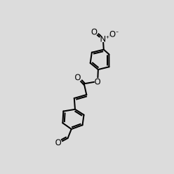 O=Cc1ccc(C=CC(=O)Oc2ccc([N+](=O)[O-])cc2)cc1